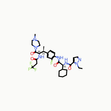 CCn1nccc1C(=O)N[C@H](C(=O)Nc1ccc([C@H](C)[C@@H](NC(=O)CC(F)(F)F)C(=O)N2CCN(C)CC2)cc1F)C1CCCCC1